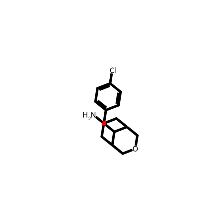 NC1CC2COCC(C1)C2Cc1ccc(Cl)cc1